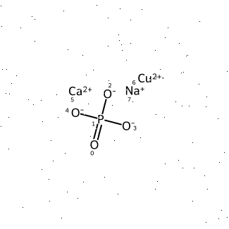 O=P([O-])([O-])[O-].[Ca+2].[Cu+2].[Na+]